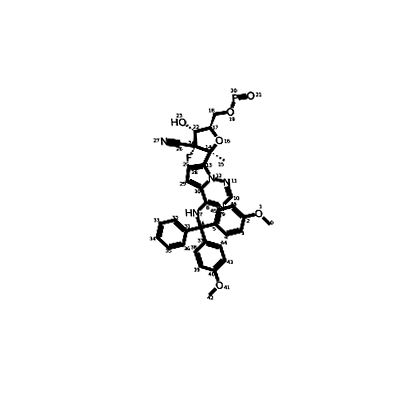 COc1ccc(C(Nc2ncnn3c([C@]4(C)O[C@H](COP=O)[C@@H](O)[C@]4(F)C#N)ccc23)(c2ccccc2)c2ccc(OC)cc2)cc1